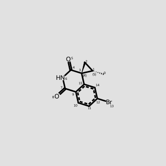 C[C@H]1C[C@@]12C(=O)NC(=O)c1ccc(Br)cc12